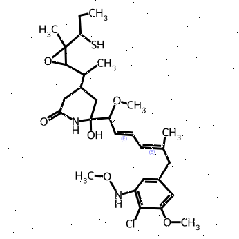 CCC(S)C1(C)OC1C(C)C1CC(=O)NC(O)(C(/C=C/C=C(\C)Cc2cc(NOC)c(Cl)c(OC)c2)OC)C1